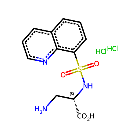 Cl.Cl.NC[C@H](NS(=O)(=O)c1cccc2cccnc12)C(=O)O